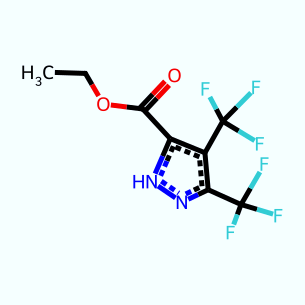 CCOC(=O)c1[nH]nc(C(F)(F)F)c1C(F)(F)F